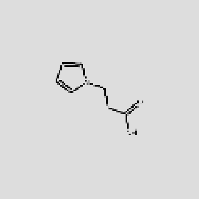 [NH]C(=O)CCn1cccc1